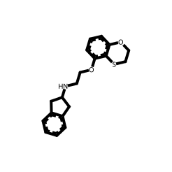 c1ccc2c(c1)CC(NCCOc1cccc3c1SCCO3)C2